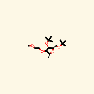 COCCOC1[C@H](C)O[C@H](COC(C)(C)C)[C@@H]1OC(C)(C)C